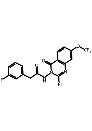 CCc1nc2cc(OC(F)(F)F)ccc2c(=O)n1NC(=O)Cc1cccc(F)c1